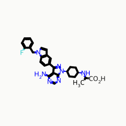 CC(N[C@H]1CC[C@@H](n2nc(-c3ccc4c(ccn4Cc4ccccc4F)c3)c3c(N)ncnc32)CC1)C(=O)O